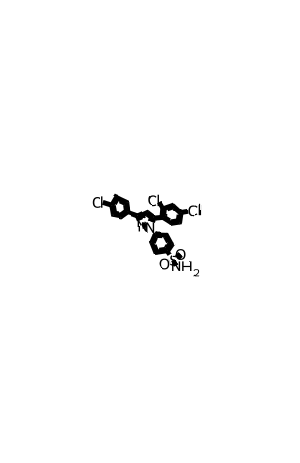 NS(=O)(=O)c1ccc(-n2nc(-c3ccc(Cl)cc3)cc2-c2ccc(Cl)cc2Cl)cc1